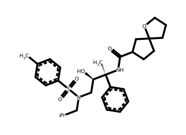 Cc1ccc(S(=O)(=O)N(CC(C)C)C[C@@H](O)[C@@](C)(NC(=O)C2CCC3(CCCO3)C2)c2ccccc2)cc1